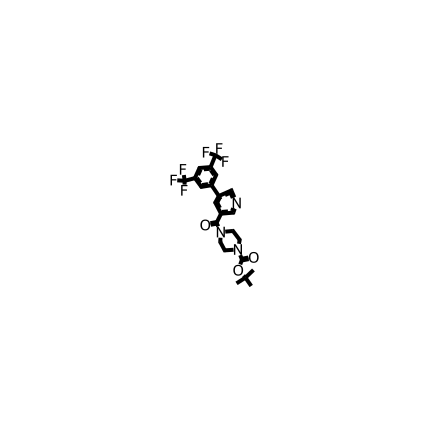 CC(C)(C)OC(=O)N1CCN(C(=O)c2cncc(-c3cc(C(F)(F)F)cc(C(F)(F)F)c3)c2)CC1